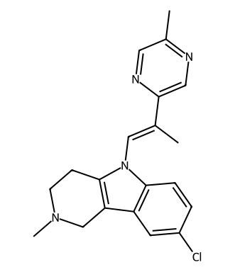 CC(=Cn1c2c(c3cc(Cl)ccc31)CN(C)CC2)c1cnc(C)cn1